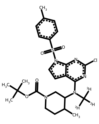 [2H]C([2H])([2H])N(c1nc(Cl)nc2c1ccn2S(=O)(=O)c1ccc(C)cc1)C1CN(C(=O)OC(C)(C)C)CCC1C